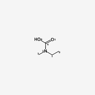 CCN(C)C(=O)O